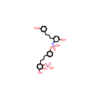 O=P(O)(O)Oc1cc(O)ccc1CCCc1cccc(OP(=O)(O)N=C2CC(O)=CC=C2CCCc2cccc(O)c2)c1